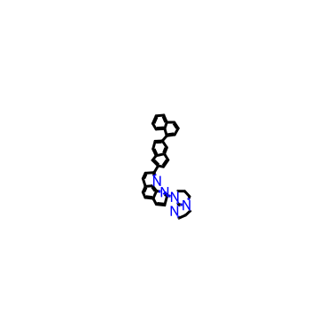 c1ccc2c(-c3ccc4cc(-c5ccc6ccc7ccc(N8CCCN9CCCN=C98)nc7c6n5)ccc4c3)cccc2c1